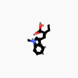 CCC(=Cc1cn(C)c2ccccc12)C(=O)O